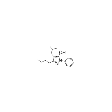 CCCCc1nn(-c2ccccc2)c(O)c1CC(C)C